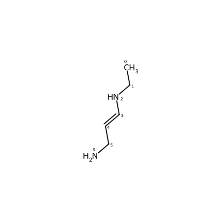 CCNC=CCN